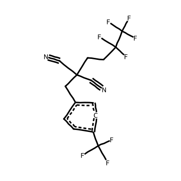 N#CC(C#N)(CCC(F)(F)C(F)(F)F)Cc1ccc(C(F)(F)F)cc1